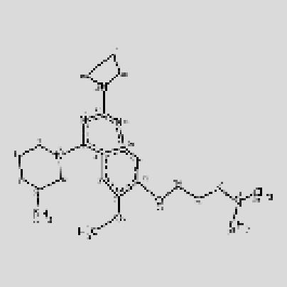 COc1cc2c(N3CCCC(N)C3)nc(N3CCC3)nc2cc1OCCCN(C)C